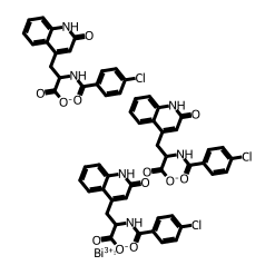 O=C(NC(Cc1cc(=O)[nH]c2ccccc12)C(=O)[O-])c1ccc(Cl)cc1.O=C(NC(Cc1cc(=O)[nH]c2ccccc12)C(=O)[O-])c1ccc(Cl)cc1.O=C(NC(Cc1cc(=O)[nH]c2ccccc12)C(=O)[O-])c1ccc(Cl)cc1.[Bi+3]